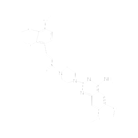 COc1cc2nc(N3CCN(C(=O)/C=C/c4ccc(OC)c(OC)c4OC)CC3)nc(N)c2cc1OC